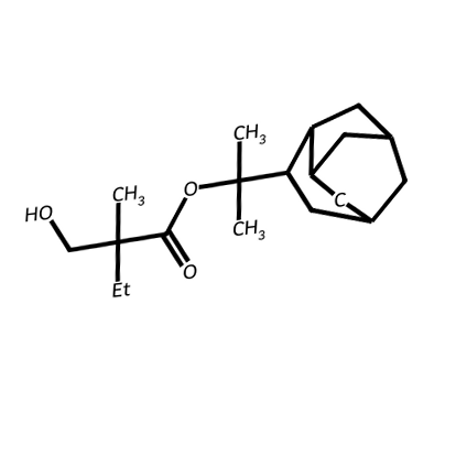 CCC(C)(CO)C(=O)OC(C)(C)C1CC2CC3CC(C2)C1C3